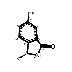 C[C@@H]1NC(=O)c2cc(F)ccc21